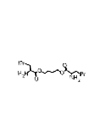 CC(C)CC(N)C(=O)OCCCCOC(=O)C(N)CC(C)C